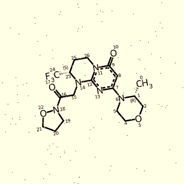 C[C@@H]1COCCN1c1cc(=O)n2c(n1)N(CC(=O)N1CCCO1)[C@H](C(F)(F)F)CC2